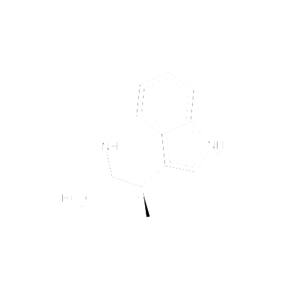 C[C@H](c1c[nH]c2ccccc12)[C@@H](N)C(=O)O